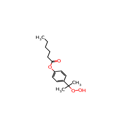 CCCCCC(=O)Oc1ccc(C(C)(C)OO)cc1